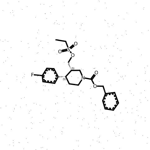 CCS(=O)(=O)OC[C@@H]1CN(C(=O)OCc2ccccc2)CC[C@@H]1c1ccc(F)cc1